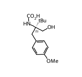 COc1ccc(C[C@](CO)(NC(=O)O)C(C)(C)C)cc1